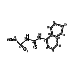 CCCCCCCCCCC(=O)NC(=S)Nc1cccc2ccccc12